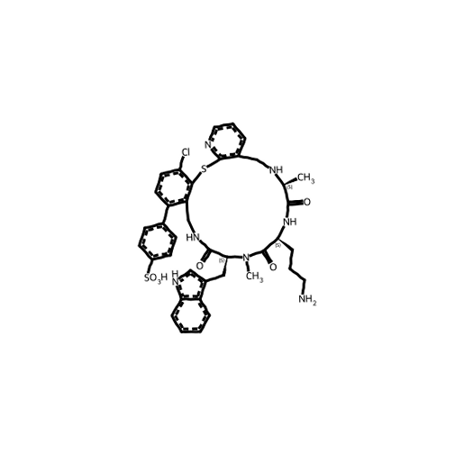 C[C@@H]1NCc2cccnc2Sc2c(Cl)ccc(-c3ccc(S(=O)(=O)O)cc3)c2CNC(=O)[C@H](Cc2c[nH]c3ccccc23)N(C)C(=O)[C@H](CCCN)NC1=O